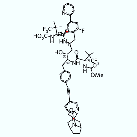 COC(=O)N[C@H](C(=O)N[C@@H](Cc1ccc(C#Cc2ccc(N3CC4CCC(C3)N4C3COC3)nc2)cc1)[C@@H](O)CN(Cc1c(F)cc(-c2ccccn2)cc1Cl)NC(=O)[C@@H](NC(=O)O)C(C)(C)C(F)(F)F)C(C)(C)C(F)(F)F